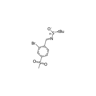 CC(C)(C)[S@+]([O-])N=Cc1ccc(S(C)(=O)=O)cc1Br